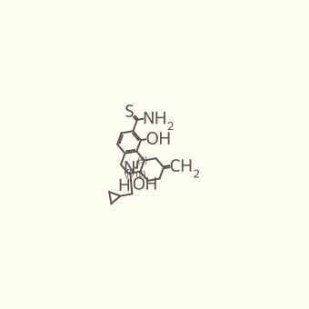 C=C1CC[C@@]2(O)[C@H]3Cc4ccc(C(N)=S)c(O)c4[C@@]2(CCN3CC2CC2)C1